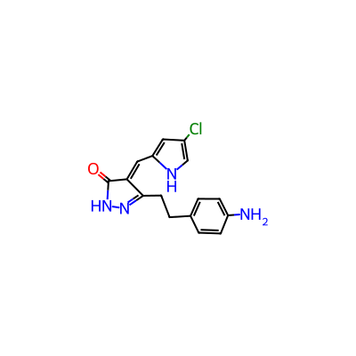 Nc1ccc(CCC2=NNC(=O)C2=Cc2cc(Cl)c[nH]2)cc1